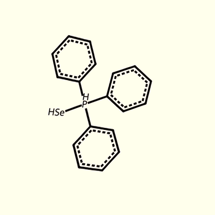 [SeH][PH](c1ccccc1)(c1ccccc1)c1ccccc1